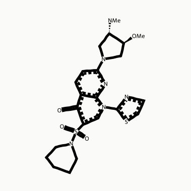 CN[C@H]1CN(c2ccc3c(=O)c(S(=O)(=O)N4CCCCC4)cn(-c4nccs4)c3n2)C[C@@H]1OC